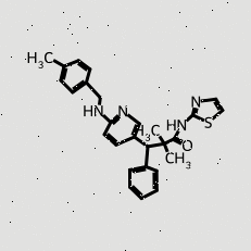 Cc1ccc(CNc2ccc(C(c3ccccc3)C(C)(C)C(=O)Nc3nccs3)cn2)cc1